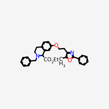 CCOC(=O)C1c2cc(OCCc3nc(-c4ccccc4)oc3C)ccc2CCN1Cc1ccccc1